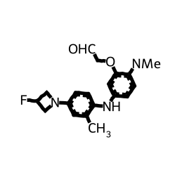 CNc1ccc(Nc2ccc(N3CC(F)C3)cc2C)cc1OCC=O